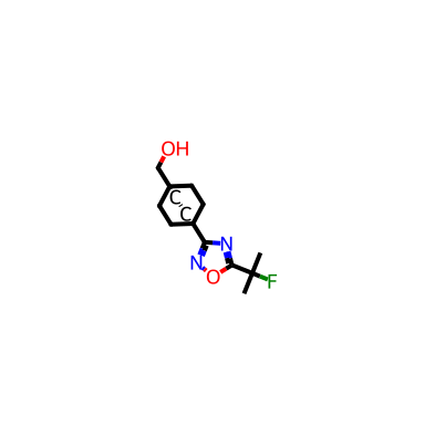 CC(C)(F)c1nc(C23CCC(CO)(CC2)CC3)no1